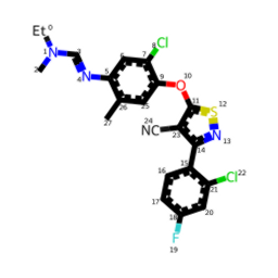 CCN(C)C=Nc1cc(Cl)c(Oc2snc(-c3ccc(F)cc3Cl)c2C#N)cc1C